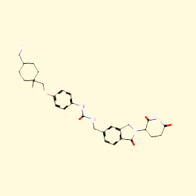 CC1(COc2ccc(NC(=O)NCc3ccc4c(c3)CN(C3CCC(=O)NC3=O)C4=O)cc2)CCC(CN)CC1